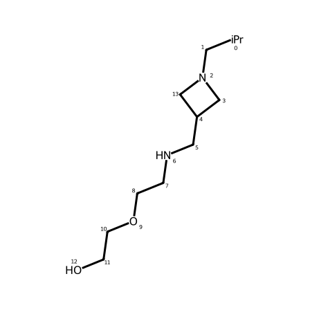 CC(C)CN1CC(CNCCOCCO)C1